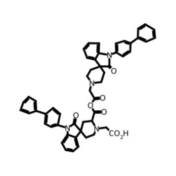 O=C(O)CN1CCC2(CC1C(=O)OC(=O)CN1CCC3(CC1)C(=O)N(c1ccc(-c4ccccc4)cc1)c1ccccc13)C(=O)N(c1ccc(-c3ccccc3)cc1)c1ccccc12